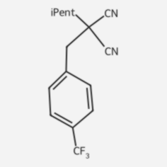 CCCC(C)C(C#N)(C#N)Cc1ccc(C(F)(F)F)cc1